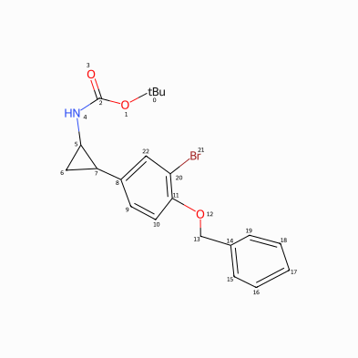 CC(C)(C)OC(=O)NC1CC1c1ccc(OCc2ccccc2)c(Br)c1